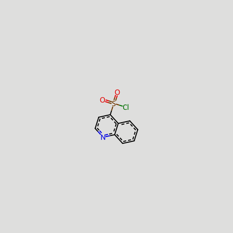 O=S(=O)(Cl)c1ccnc2ccccc12